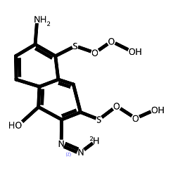 [2H]/N=N\c1c(SOOO)cc2c(SOOO)c(N)ccc2c1O